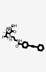 C[C@@](O)(C(F)F)[C@H](NCCNC(=O)c1ccc(C#Cc2ccccc2)cc1)C(=O)NO